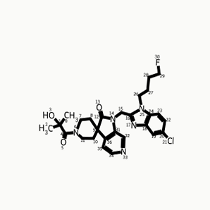 CC(C)(O)C(=O)N1CCC2(CC1)C(=O)N(Cc1nc3cc(Cl)ccc3n1CCCCF)c1cnccc12